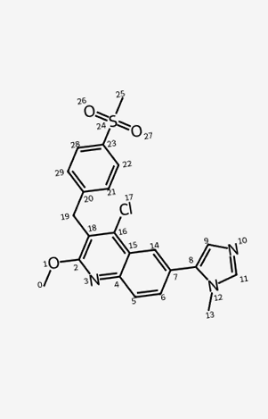 COc1nc2ccc(-c3cncn3C)cc2c(Cl)c1Cc1ccc(S(C)(=O)=O)cc1